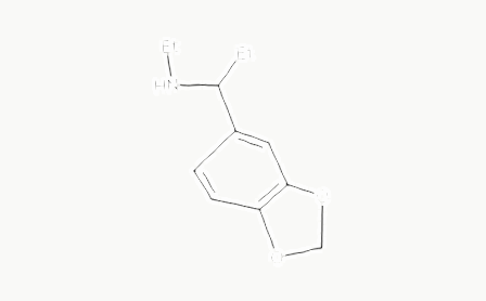 CCNC(CC)c1ccc2c(c1)OCO2